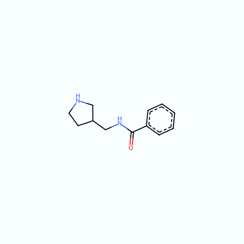 O=C(NCC1CCNC1)c1ccccc1